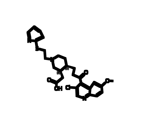 COc1ccc2ncc(Cl)c(C(=O)CC[C@@H]3CCN(CCSc4ccccn4)C[C@@H]3CC(=O)O)c2c1